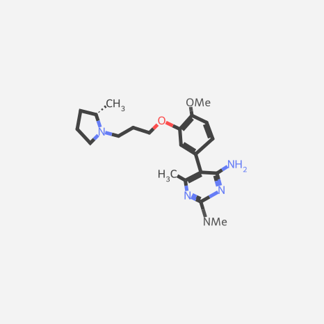 CNc1nc(C)c(-c2ccc(OC)c(OCCCN3CCC[C@@H]3C)c2)c(N)n1